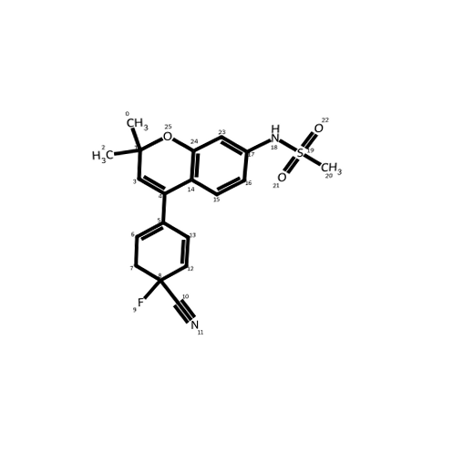 CC1(C)C=C(C2=CCC(F)(C#N)C=C2)c2ccc(NS(C)(=O)=O)cc2O1